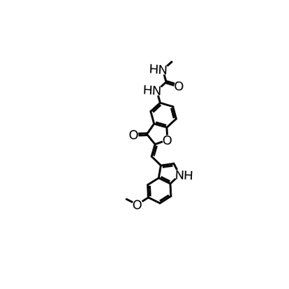 CNC(=O)Nc1ccc2c(c1)C(=O)/C(=C/c1c[nH]c3ccc(OC)cc13)O2